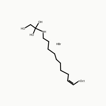 Br.CCCCCCCC/C=C\CCCCCCCCNC(O)(O)CO